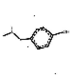 Oc1ccc(CNI)cc1